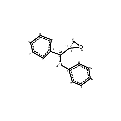 c1ccc(O[C@@H](c2ccccc2)[C@@H]2CO2)cc1